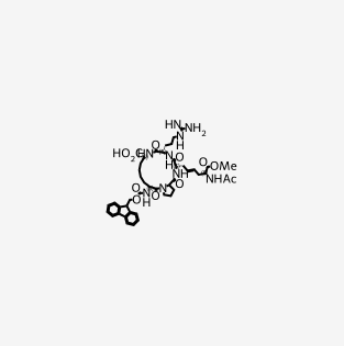 COC(=O)[C@H](CC=CC[C@@H]1NC(=O)C2CCCN2C(=O)[C@@H](NC(=O)OCC2c3ccccc3-c3ccccc32)CCCC[C@@H](C(=O)O)NC(=O)[C@H](CCCNC(=N)N)NC1=O)NC(C)=O